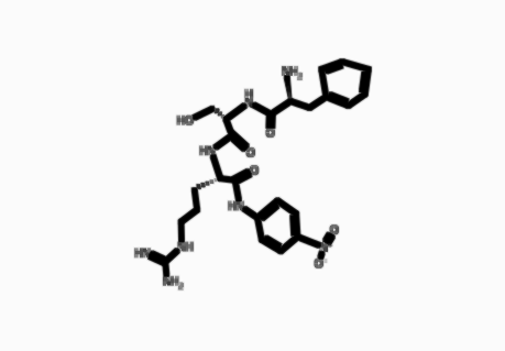 N=C(N)NCCC[C@H](NC(=O)[C@H](CO)NC(=O)[C@@H](N)Cc1ccccc1)C(=O)Nc1ccc([N+](=O)[O-])cc1